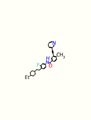 CCC1CCC(CCc2ccc(NC(=O)c3ccc(C)c(C#CC4=CCC=CN=C4)c3)cc2F)CC1